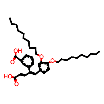 CCCCCCCCCCOc1ccc(C=C(C=CC(=O)O)c2cccc(C(=O)O)c2)cc1OCCCCCCCCCC